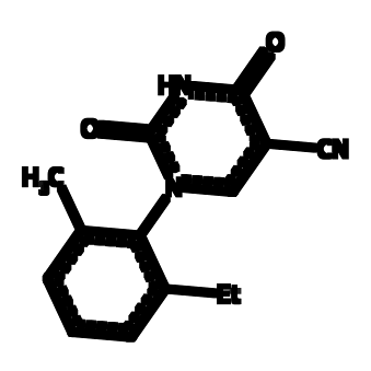 CCc1cccc(C)c1-n1cc(C#N)c(=O)[nH]c1=O